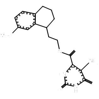 COc1ccc2c(c1)C(CCNC(=O)c1[nH]c(=O)[nH]c(=O)c1N)CCC2